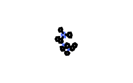 c1ccc(-c2nc(-c3ccccc3)nc(-c3cc(-n4c5ccccc5c5c4ccc4c6c7ccccc7ccc6n(-c6ccccc6)c45)cc4ccccc34)n2)cc1